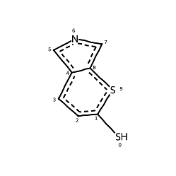 Sc1ccc2cncc-2s1